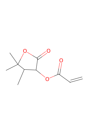 C=CC(=O)OC1C(=O)OC(C)(C)C1C